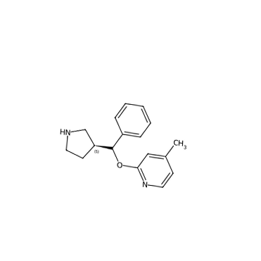 Cc1ccnc(OC(c2ccccc2)[C@H]2CCNC2)c1